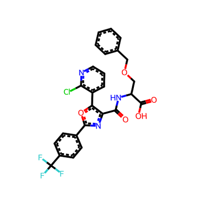 O=C(NC(COCc1ccccc1)C(=O)O)c1nc(-c2ccc(C(F)(F)F)cc2)oc1-c1cccnc1Cl